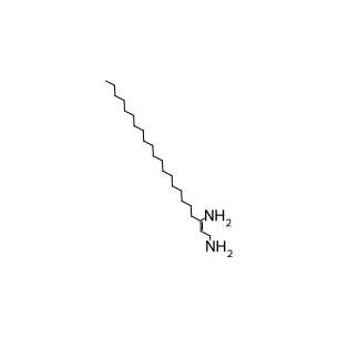 CCCCCCCCCCCCCCCCCCCC(N)=CCN